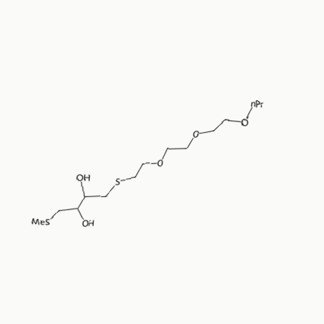 CCCOCCOCCOCCSCC(O)C(O)CSC